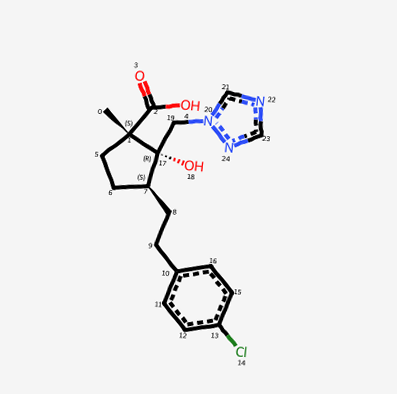 C[C@]1(C(=O)O)CC[C@H](CCc2ccc(Cl)cc2)[C@]1(O)Cn1cncn1